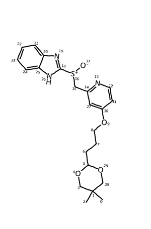 CC1(C)COC(CCCOc2ccnc(C[S+]([O-])c3nc4ccccc4[nH]3)c2)OC1